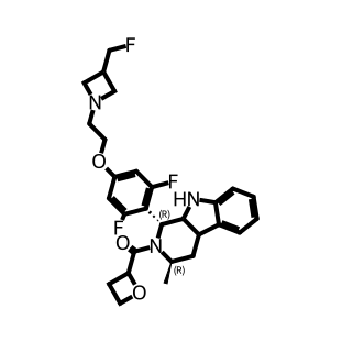 C[C@@H]1CC2c3ccccc3NC2[C@@H](c2c(F)cc(OCCN3CC(CF)C3)cc2F)N1C(=O)C1CCO1